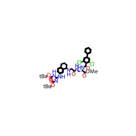 COC(=O)[C@H](CNC(=O)CNC1CCCc2ccc(N/C(=N/C(=O)OC(C)(C)C)NC(=O)OC(C)(C)C)cc21)NC(=O)c1c(Cl)cc(-c2ccccc2)cc1Cl